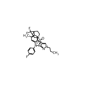 CCCn1cc(S(=O)(=O)N2CCC3(c4cc5cnn(-c6ccc(F)cc6)c5cc4C)C(C2)C3(F)F)cn1